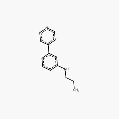 CCCNc1cccc(-c2ccncc2)c1